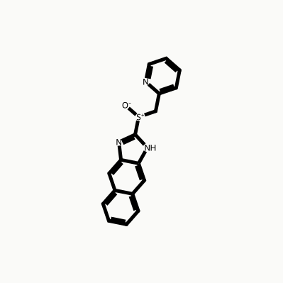 [O-][S+](Cc1ccccn1)c1nc2cc3ccccc3cc2[nH]1